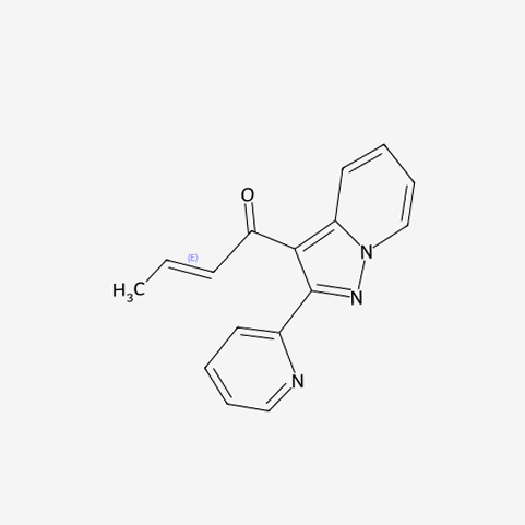 C/C=C/C(=O)c1c(-c2ccccn2)nn2ccccc12